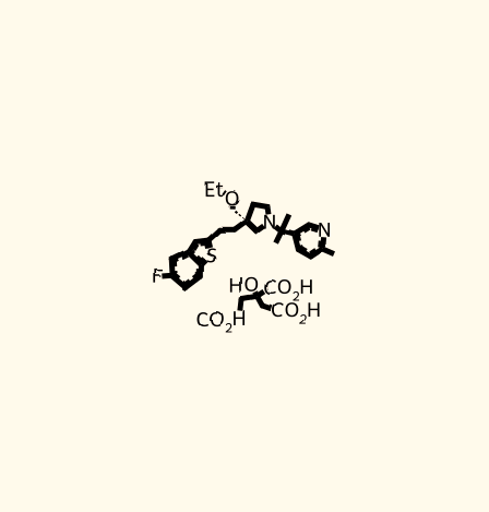 CCOC[C@]1(CCc2cc3cc(F)ccc3s2)CCN(C(C)(C)c2ccc(C)nc2)C1.O=C(O)CC(O)(CC(=O)O)C(=O)O